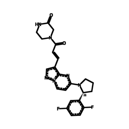 O=C1CN(C(=O)C=Cc2cnn3ccc(N4CCC[C@@H]4c4cc(F)ccc4F)nc23)CCN1